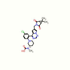 CN(C(=O)O)[C@H]1CCCN(c2ccc(Cl)cc2-c2ncnn3cc(CN4C(=O)C5C(C4=O)C5(C)C)cc23)C1